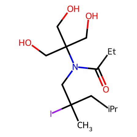 CCC(=O)N(CC(C)(I)CC(C)C)C(CO)(CO)CO